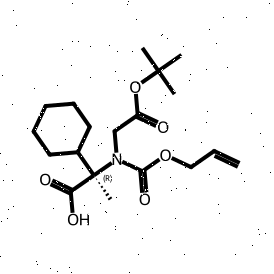 C=CCOC(=O)N(CC(=O)OC(C)(C)C)[C@@](C)(C(=O)O)C1CCCCC1